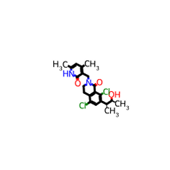 Cc1cc(C)c(CN2CCc3c(Cl)cc([C@@H](C)[C@H](C)O)c(Cl)c3C2=O)c(=O)[nH]1